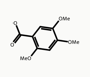 COc1cc(OC)c(C([O])=O)cc1OC